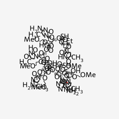 CC[C@H]1O[C@@H](n2cc(C)c(=O)[nH]c2=O)C[C@H]1OP(=O)(S)OC[C@H]1O[C@@H](n2cc(C)c(N)nc2=O)C(OCCOC)[C@H]1OP(=O)(O)OC[C@H]1O[C@@H](n2cc(C)c(=O)[nH]c2=O)C(OCCOC)[C@H]1OP(=O)(O)OC[C@H]1O[C@@H](n2cc(C)c(N)nc2=O)C(OCCOC)[C@H]1OP(=O)(S)OC[C@H]1O[C@@H](n2cnc3c(N)ncnc32)C(OCCOC)[C@H]1OP(=O)(S)OC[C@H]1O[C@@H](n2cc(C)c(N)nc2=O)C(OCCOC)[C@H]1O